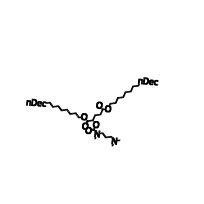 CCCCCCCCCCCCCCCCCCOC(=O)CCC(OC(=O)N(C)CCCN(C)C)C(=O)OCCCCCCCCCCCCCCCCCC